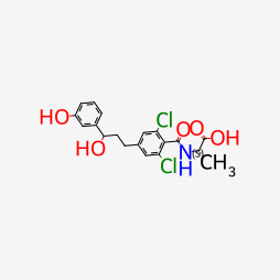 C[C@H](NC(=O)c1c(Cl)cc(CCC(O)c2cccc(O)c2)cc1Cl)C(=O)O